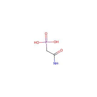 [NH]C(=O)CP(=O)(O)O